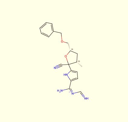 C[C@H]1C[C@@H](COCc2ccccc2)OC1(C#N)c1ccc(/C(N)=N\C=N)[nH]1